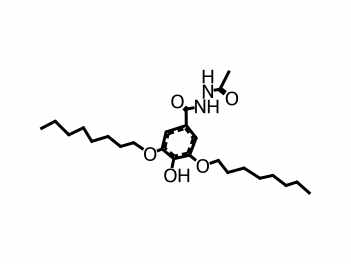 CCCCCCCCOc1cc(C(=O)NNC(C)=O)cc(OCCCCCCCC)c1O